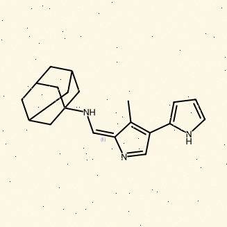 CC1=C(c2ccc[nH]2)C=N/C1=C/NC12CC3CC(CC(C3)C1)C2